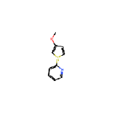 COC1=C[SH](c2ccccn2)C=C1